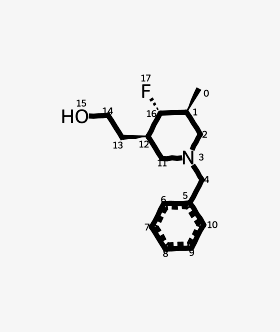 C[C@H]1CN(Cc2ccccc2)C[C@@H](CCO)[C@@H]1F